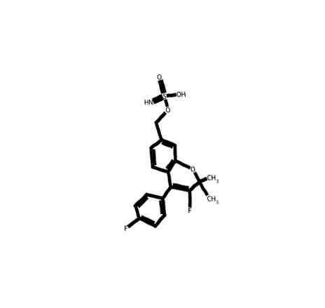 CC1(C)Oc2cc(COS(=N)(=O)O)ccc2C(c2ccc(F)cc2)=C1F